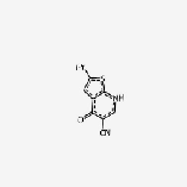 CC(C)c1cc2c(=O)c(C#N)c[nH]c2s1